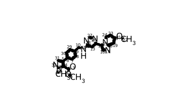 COC(=O)c1c(-c2ccc(CNc3cc(-c4cnc5cc(OC)ccn45)ncn3)cc2)cnn1C